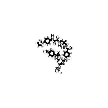 CC(C)(CNC(=O)C(=O)Nc1ccc(-n2cccn2)cc1)CNC(=O)c1ccc(Nc2nc(NC3(c4ccc(Cl)cc4)CC3)nc(OCC(F)(F)F)n2)cc1